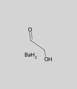 O=CCO.[BaH2]